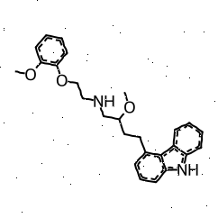 COc1ccccc1OCCNCC(CCc1cccc2[nH]c3ccccc3c12)OC